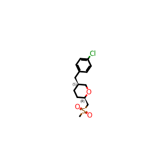 CS(=O)(=O)C[C@H]1CC[C@@H](Cc2ccc(Cl)cc2)CO1